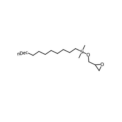 CCCCCCCCCCCCCCCCCC[Si](C)(C)OCC1CO1